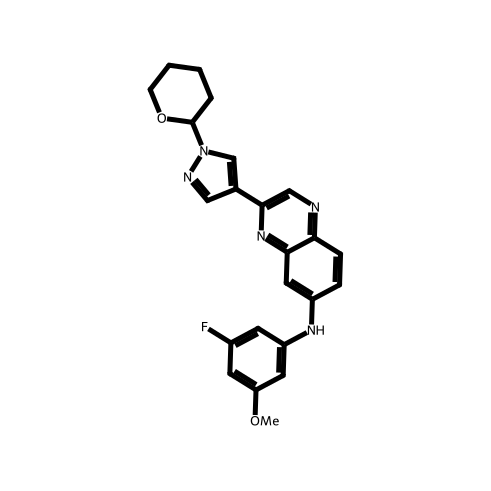 COc1cc(F)cc(Nc2ccc3ncc(-c4cnn(C5CCCCO5)c4)nc3c2)c1